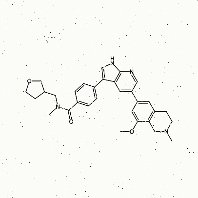 COc1cc(-c2cnc3[nH]cc(-c4ccc(C(=O)N(C)CC5CCOC5)cc4)c3c2)cc2c1CN(C)CC2